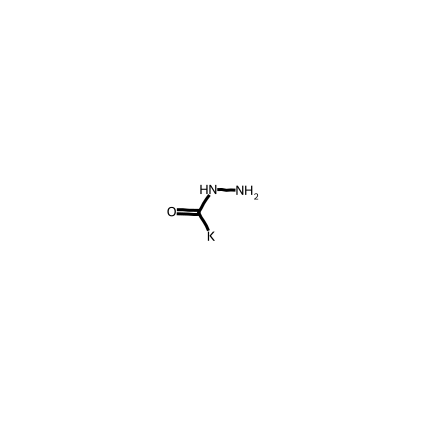 NN[C](=O)[K]